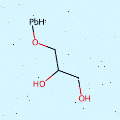 OCC(O)C[O][PbH]